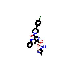 Cc1cc(NS(=O)(=O)c2ncc(C(=O)N3CCC(c4ccc(F)cc4)CC3)c(Nc3ccccc3)c2C)sn1